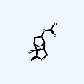 CCC(C)C(=O)OC1CC2OC1C1COC(=O)C21C